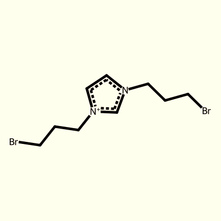 BrCCCn1cc[n+](CCCBr)c1